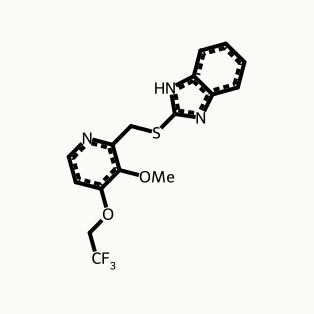 COc1c(OCC(F)(F)F)ccnc1CSc1nc2ccccc2[nH]1